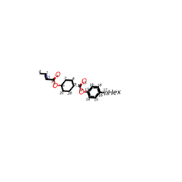 C/C=C/C(=O)O[C@H]1CC[C@H](C(=O)Oc2ccc(CCCCCC)cc2)CC1